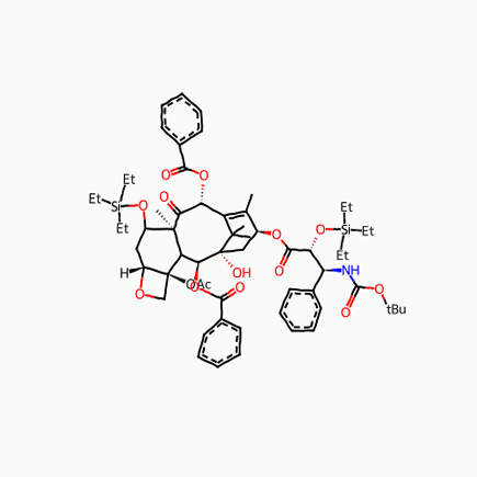 CC[Si](CC)(CC)OC1C[C@H]2OC[C@@]2(OC(C)=O)C2[C@H](OC(=O)c3ccccc3)[C@]3(O)C[C@H](OC(=O)[C@H](O[Si](CC)(CC)CC)[C@@H](NC(=O)OC(C)(C)C)c4ccccc4)C(C)=C([C@@H](OC(=O)c4ccccc4)C(=O)[C@]12C)C3(C)C